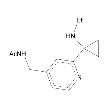 CCNC1(c2cc(CNC(C)=O)ccn2)CC1